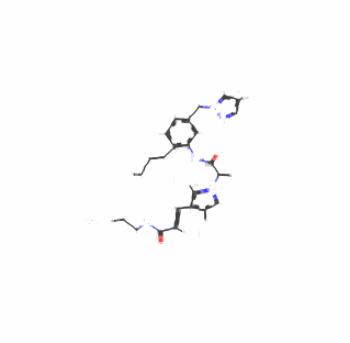 COCCNC(=O)/C(C)=C/c1c(C)cn(C(C)C(=O)Nc2cc(Cn3cc(C)cn3)ccc2CCCC(=O)O)c1C